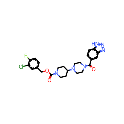 O=C(OCc1ccc(F)c(Cl)c1)N1CCC(N2CCN(C(=O)c3ccc4[nH]nnc4c3)CC2)CC1